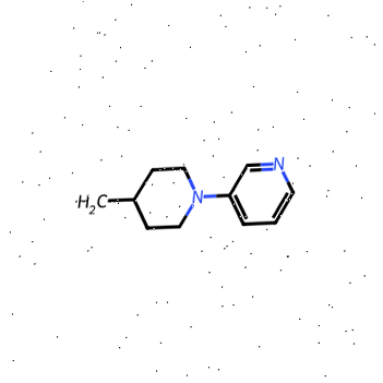 [CH2]C1CCN(c2cccnc2)CC1